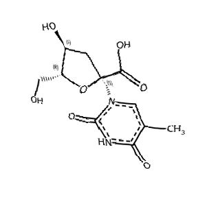 Cc1cn([C@@]2(C(=O)O)C[C@H](O)[C@@H](CO)O2)c(=O)[nH]c1=O